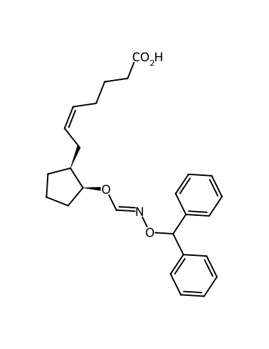 O=C(O)CCC/C=C\C[C@@H]1CCC[C@@H]1OC=NOC(c1ccccc1)c1ccccc1